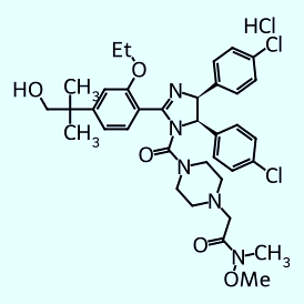 CCOc1cc(C(C)(C)CO)ccc1C1=N[C@@H](c2ccc(Cl)cc2)[C@@H](c2ccc(Cl)cc2)N1C(=O)N1CCN(CC(=O)N(C)OC)CC1.Cl